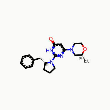 CC[C@@H]1CN(c2cc(=O)[nH]c(N3CCC[C@@H]3Cc3ccccc3)n2)CCO1